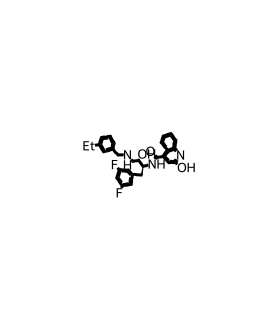 CCc1cccc(CNC[C@@H](O)[C@H](Cc2cc(F)cc(F)c2)NC(=O)c2cc(O)nc3ccccc23)c1